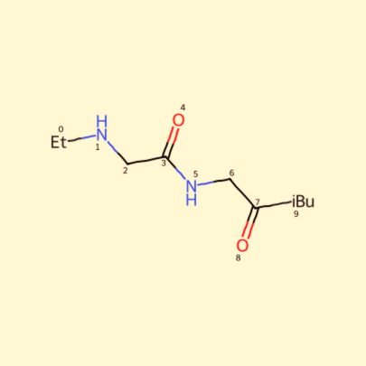 CCNCC(=O)NCC(=O)C(C)CC